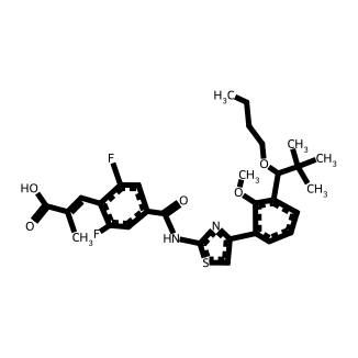 CCCCOC(c1cccc(-c2csc(NC(=O)c3cc(F)c(/C=C(\C)C(=O)O)c(F)c3)n2)c1OC)C(C)(C)C